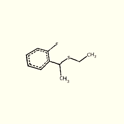 CCSC(C)c1ccccc1F